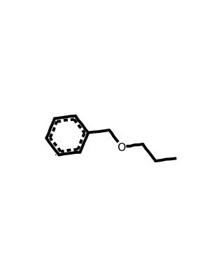 CCCOCc1c[c]ccc1